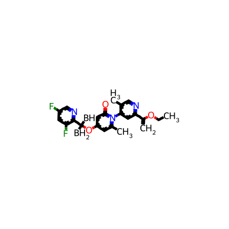 BC(B)(Oc1cc(C)n(-c2cc(C(=C)OCC)ncc2C)c(=O)c1)c1ncc(F)cc1F